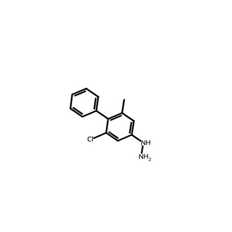 Cc1cc(NN)cc(Cl)c1-c1ccccc1